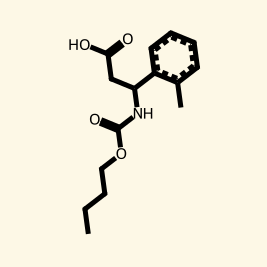 CCCCOC(=O)NC(CC(=O)O)c1ccccc1C